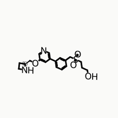 O=S(=O)(CCCO)Cc1cccc(-c2cncc(OC[C@@H]3CCN3)c2)c1